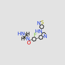 O=C(c1ccc(-c2ccc3nccc(Nc4ccc5scnc5c4)c3c2)c(F)c1)N1C[C@H]2CNC[C@H]2C1